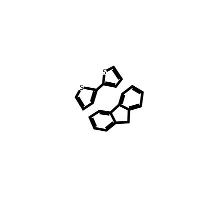 c1ccc2c(c1)Cc1ccccc1-2.c1csc(-c2cccs2)c1